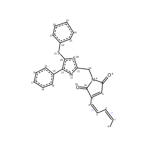 C/C=C\C=C/C1=CC(=O)N(Cc2nc(-c3ccccc3)c(Sc3ccccc3)s2)C1=O